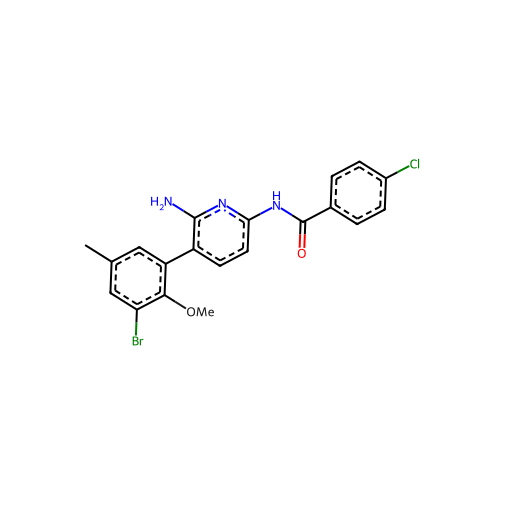 COc1c(Br)cc(C)cc1-c1ccc(NC(=O)c2ccc(Cl)cc2)nc1N